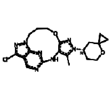 Cc1c2c(nn1[C@H]1CCOC3(CC3)C1)OCCCn1nc(Cl)c3cnc(nc31)N2